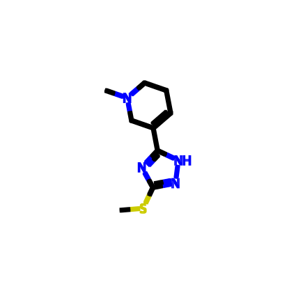 CSc1n[nH]c(C2=CCCN(C)C2)n1